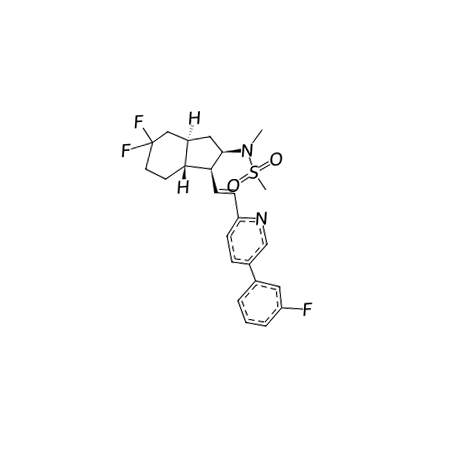 CN([C@@H]1C[C@@H]2CC(F)(F)CC[C@H]2[C@@H]1/C=C/c1ccc(-c2cccc(F)c2)cn1)S(C)(=O)=O